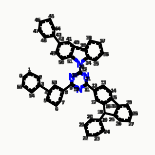 c1ccc(-c2cccc(-c3nc(-c4ccc5c(c4)C(c4ccccc4)c4ccccc4-5)nc(-n4c5ccccc5c5cc(-c6ccccc6)ccc54)n3)c2)cc1